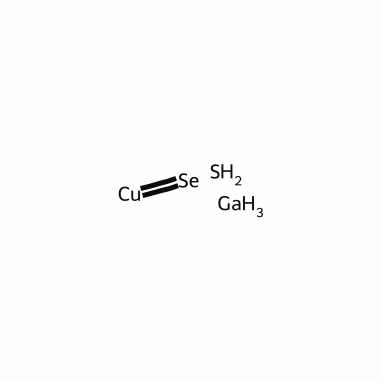 S.[Cu]=[Se].[GaH3]